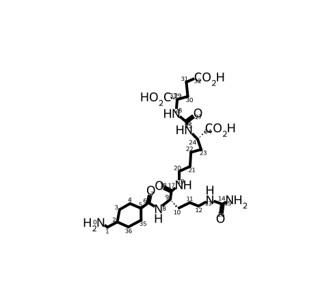 NCC1CCC(C(=O)N[C@@H](CCCNC(N)=O)C(=O)NCCCC[C@H](NC(=O)N[C@@H](CCC(=O)O)C(=O)O)C(=O)O)CC1